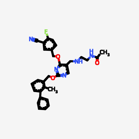 CC(=O)NCCNCc1cnc(OCc2cccc(-c3ccccc3)c2C)nc1OCc1ccc(F)c(C#N)c1